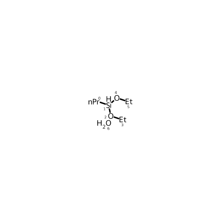 CCC[SiH](OCC)OCC.O